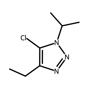 CCc1nnn(C(C)C)c1Cl